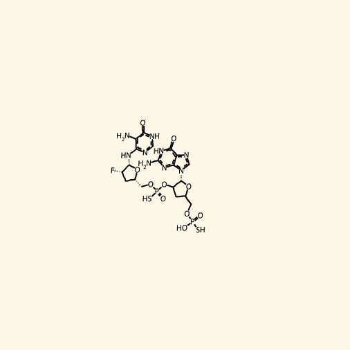 Nc1nc2c(ncn2[C@@H]2OC(COP(=O)(O)S)CC2OP(=O)(S)OC[C@@H]2C[C@H](F)[C@H](Nc3nc[nH]c(=O)c3N)O2)c(=O)[nH]1